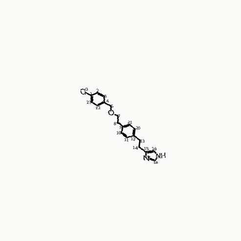 Clc1ccc(COCCc2ccc(CCc3c[nH]cn3)cc2)cc1